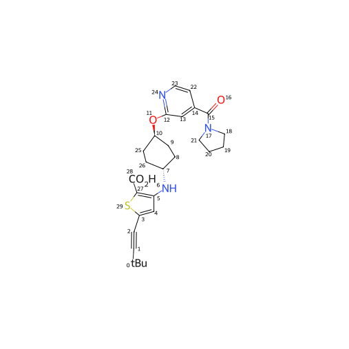 CC(C)(C)C#Cc1cc(N[C@H]2CC[C@H](Oc3cc(C(=O)N4CCCC4)ccn3)CC2)c(C(=O)O)s1